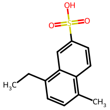 CCc1ccc(C)c2ccc(S(=O)(=O)O)cc12